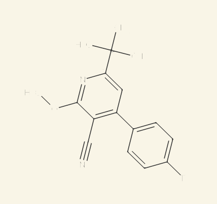 COc1nc(C(C)(C)C)cc(-c2ccc(F)cc2)c1C#N